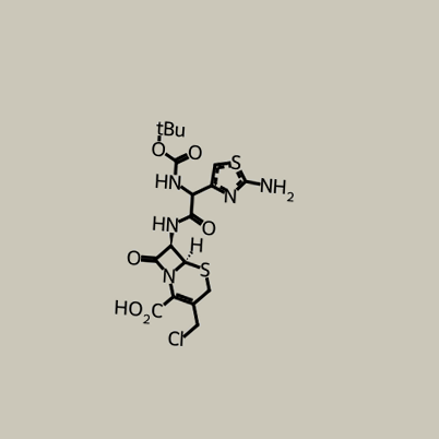 CC(C)(C)OC(=O)NC(C(=O)N[C@@H]1C(=O)N2C(C(=O)O)=C(CCl)CS[C@H]12)c1csc(N)n1